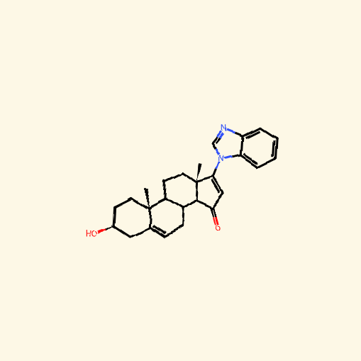 C[C@]12CC[C@H](O)CC1=CCC1C2CC[C@]2(C)C(n3cnc4ccccc43)=CC(=O)C12